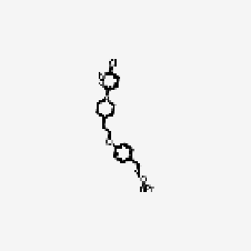 CCCON=Cc1ccc(OCCC2CCN(c3ccc(Cl)nn3)CC2)cc1